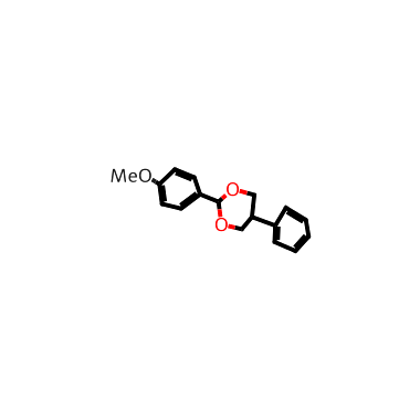 COc1ccc(C2OCC(c3ccccc3)CO2)cc1